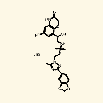 Br.Cc1nc(-c2ccc3c(c2)OCO3)nn1CCC(C)(C)NCC(O)c1cc(O)cc2c1OCC(=O)N2